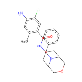 COc1cc(N)c(Cl)cc1C(=O)NC1CC2COCC(C1)N2Cc1ccccc1